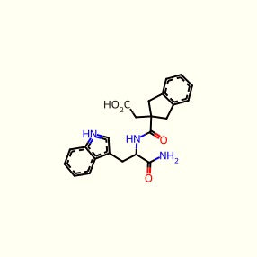 NC(=O)C(Cc1c[nH]c2ccccc12)NC(=O)C1(CC(=O)O)Cc2ccccc2C1